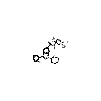 CC1(NC(=O)c2ccc3c(-c4ccccc4Cl)nn(C4CCCCO4)c3c2)CCS(O)(O)C1